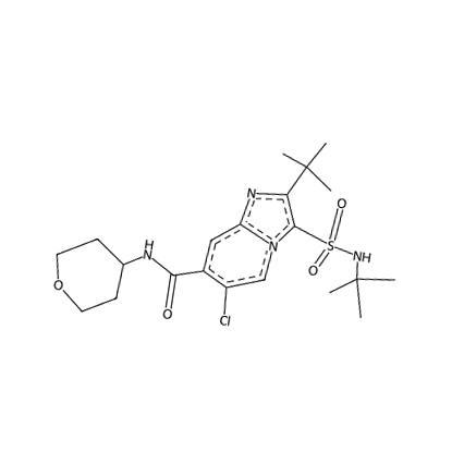 CC(C)(C)NS(=O)(=O)c1c(C(C)(C)C)nc2cc(C(=O)NC3CCOCC3)c(Cl)cn12